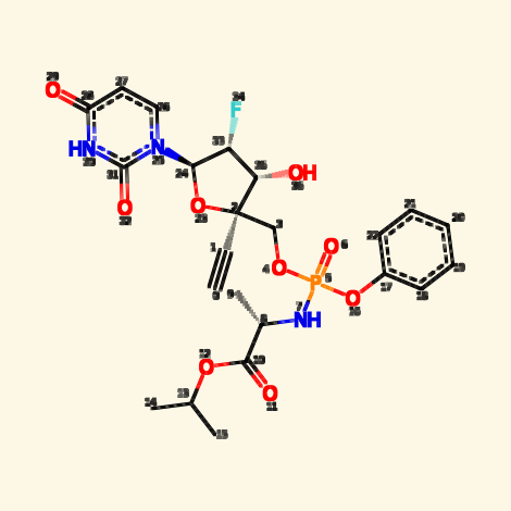 C#C[C@]1(COP(=O)(N[C@@H](C)C(=O)OC(C)C)Oc2ccccc2)O[C@@H](n2ccc(=O)[nH]c2=O)[C@H](F)[C@@H]1O